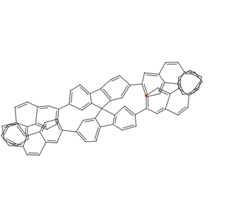 c1ccc2c(c1)ccc1cc(-c3ccc4c(c3)C3(c5cc(-c6ccc7c(ccc8ccccc87)c6)ccc5-4)c4cc(-c5ccc6c(ccc7ccccc76)c5)ccc4-c4ccc(-c5ccc6c(ccc7ccccc76)c5)cc43)ccc12